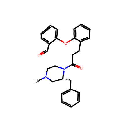 BN1CCN(C(=O)CCc2ccccc2Oc2ccccc2C=O)[C@H](Cc2ccccc2)C1